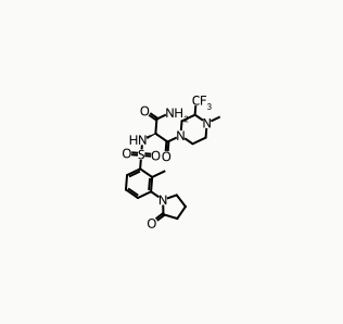 Cc1c(N2CCCC2=O)cccc1S(=O)(=O)N[C@@H](C(N)=O)C(=O)N1CCN(C)C(C(F)(F)F)C1